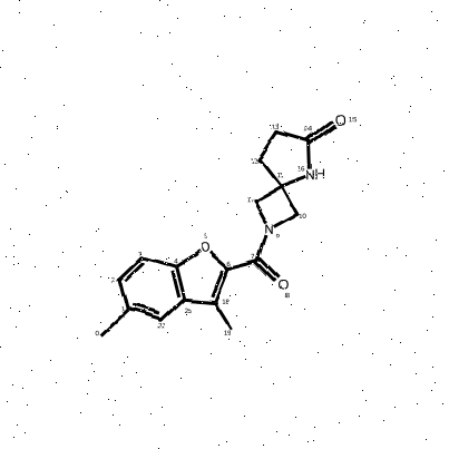 Cc1ccc2oc(C(=O)N3CC4(CCC(=O)N4)C3)c(C)c2c1